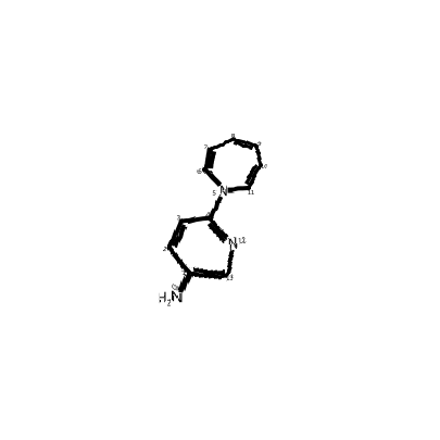 Nc1ccc(N2C=CC=CC=C2)nc1